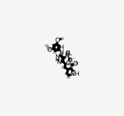 COc1cc(Nc2ncnc(C(CC3CCNCC3)OC=O)c2[N+](=O)[O-])cc(OC)c1